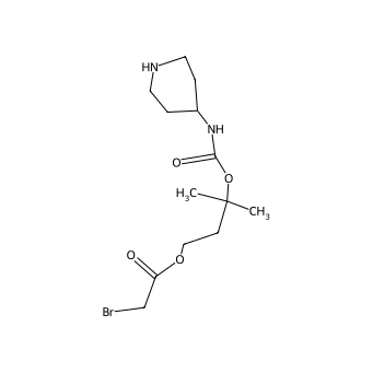 CC(C)(CCOC(=O)CBr)OC(=O)NC1CCNCC1